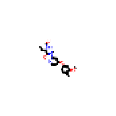 CCC(NC=O)C(=O)N(C)c1cc(Oc2ccc(C)c(OC)c2)ccn1